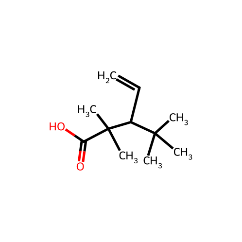 C=CC(C(C)(C)C)C(C)(C)C(=O)O